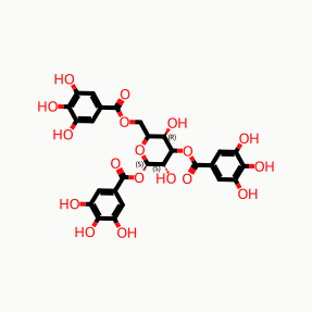 O=C(OCC1O[C@@H](OC(=O)c2cc(O)c(O)c(O)c2)[C@@H](O)C(OC(=O)c2cc(O)c(O)c(O)c2)[C@@H]1O)c1cc(O)c(O)c(O)c1